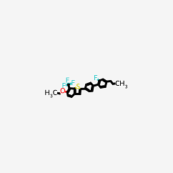 CCCc1ccc(-c2ccc(-c3cc4ccc(OCC)c(C(F)(F)F)c4s3)cc2)c(F)c1